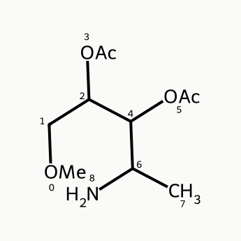 COCC(OC(C)=O)C(OC(C)=O)C(C)N